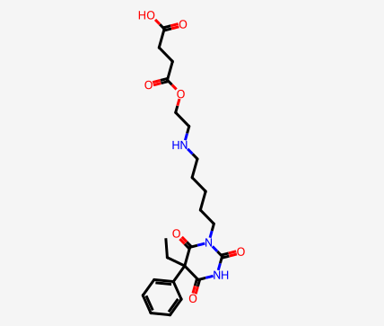 CCC1(c2ccccc2)C(=O)NC(=O)N(CCCCCNCCOC(=O)CCC(=O)O)C1=O